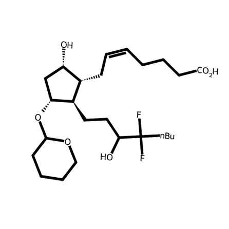 CCCCC(F)(F)C(O)CC[C@@H]1[C@@H](C/C=C\CCCC(=O)O)[C@@H](O)C[C@H]1OC1CCCCO1